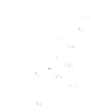 C=C(CN1CCOCC1)C(=O)NCC(CC1CCCCC1)NC(=O)[C@H](Cc1nc2ccc(C(C)C)cc2s1)NC(=O)CCC